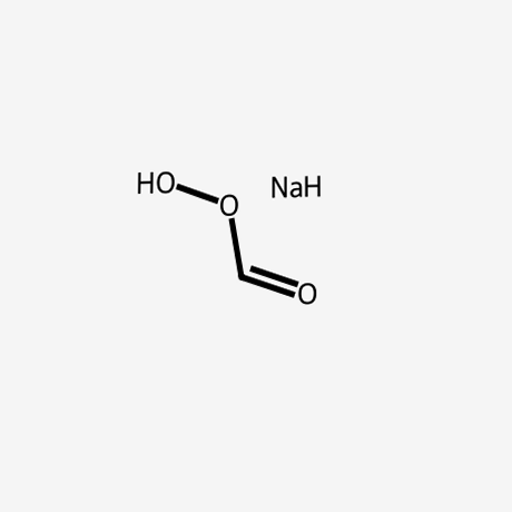 O=COO.[NaH]